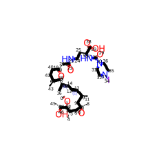 CO[C@H]([C@@H](C)[C@H]1O[C@]1(C)C[C@H](C)/C=C/C=C(\C)[C@H]1O[C@@H](CC(=O)NCC[C@H](NC(=O)N2CCN(I)CC2)C(=O)O)CC[C@@H]1C)[C@@H](C)O